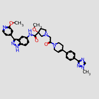 COc1cc(-c2n[nH]c3ccc(NC(=O)[C@]4(OC)CCN(CC(=O)N5CC=C(c6ccc(-c7ncn(C)n7)cc6)CC5)C4)cc23)ccn1